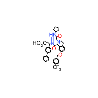 O=C(O)CC(NC(=O)C1c2cc(OCc3ccc(C(F)(F)F)cc3)ccc2CCN1CC(=O)NC1CCCC1)c1ccc(-c2ccccc2)cc1